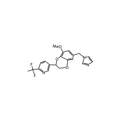 COc1cc(Cn2ccnc2)cc2c1OC(c1ccc(C(C)(F)F)nc1)CO2